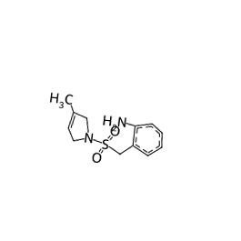 CC1=CCN(S(=O)(=O)Cc2ccccc2N)C1